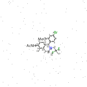 COc1cc(Br)ccc1[C@@H]1c2ccc(NC(C)=O)c(C)c2C[C@@H](C)N1CC(C)(F)F